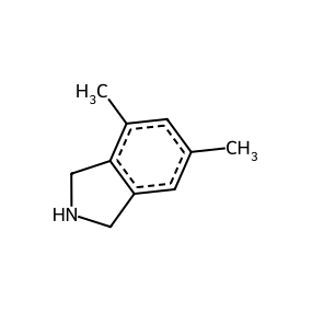 Cc1cc(C)c2c(c1)CNC2